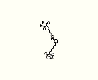 CCC(=O)C(CCCCCCOOc1cccc(CCCCCCC(C(=O)CC)C(=O)CC)c1)C(=O)CC